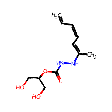 C=C/C=C\C=C(/C)NNC(=O)OC(CO)CO